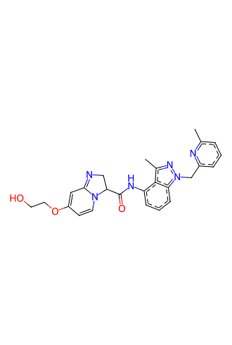 Cc1cccc(Cn2nc(C)c3c(NC(=O)C4CN=C5C=C(OCCO)C=CN54)cccc32)n1